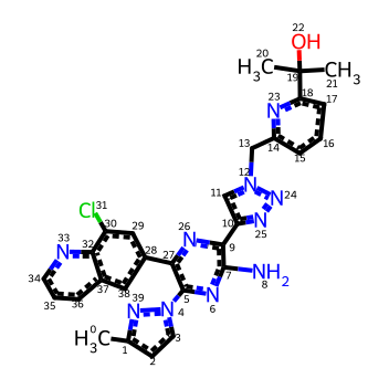 Cc1ccn(-c2nc(N)c(-c3cn(Cc4cccc(C(C)(C)O)n4)nn3)nc2-c2cc(Cl)c3ncccc3c2)n1